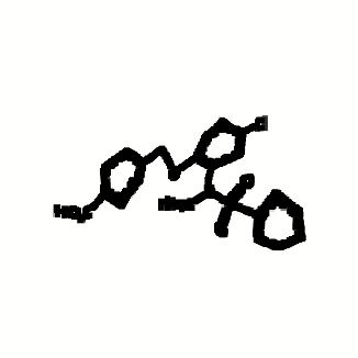 CCCCCCCN(c1cc(Cl)ccc1OCc1ccc(C(=O)O)cc1)S(=O)(=O)c1ccccc1